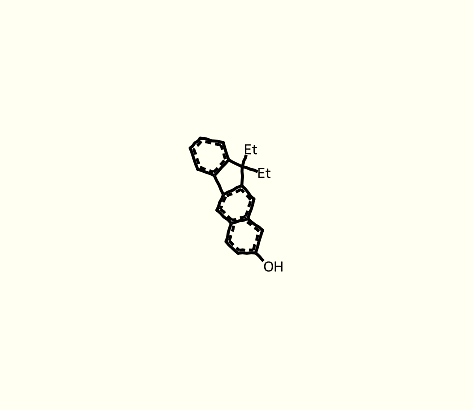 CCC1(CC)c2ccccc2-c2cc3ccc(O)cc3cc21